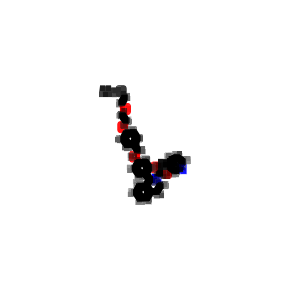 COCCOCCOc1ccc(COc2ccc(C3c4ccccc4CCN3C(=O)O[C@@H]3CN4CCC3CC4)cc2)cc1